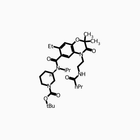 CCCC(=O)NCCN1C(=O)C(C)(C)Oc2cc(CC)c(C(=O)N(C(C)C)[C@@H]3CCCN(C(=O)OC(C)(C)C)C3)cc21